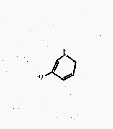 CC1=CNCC=C1